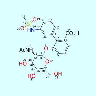 CC(=O)N[C@H]1[C@H](Oc2cccc(C(=O)O)c2-c2cccc(NS(C)(=O)=O)c2)O[C@H](CO)[C@H](O)[C@@H]1O